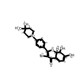 CC1(C)CCN(c2ccc(C3=C(Br)C(=O)C4=CC=C(O)C(O)[C@H]4O3)cc2)CC1